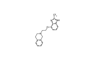 FC(F)(F)c1nc2c(OCCN3CCc4ccccc4C3)cccc2[nH]1